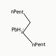 [CH2]CCCCCCCCCCC.[PbH2]